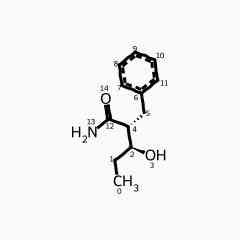 CC[C@H](O)[C@@H](Cc1ccccc1)C(N)=O